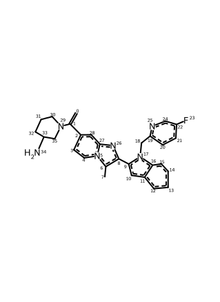 C=C(c1ccn2c(C)c(-c3cc4ccccc4n3Cc3ccc(F)cn3)nc2c1)N1CCCC(N)C1